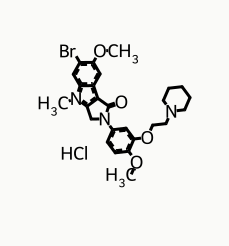 COc1cc2c3c(n(C)c2cc1Br)CN(c1ccc(OC)c(OCCN2CCCCC2)c1)C3=O.Cl